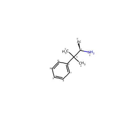 CC(=O)[C@@H](N)C(C)(C)c1ccccc1